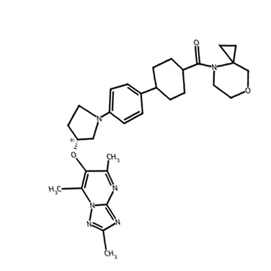 Cc1nc2nc(C)c(O[C@@H]3CCN(c4ccc(C5CCC(C(=O)N6CCOCC67CC7)CC5)cc4)C3)c(C)n2n1